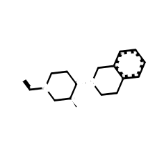 O=CN1CC[C@H](N2CCc3ccccc3C2)[C@@H](O)C1